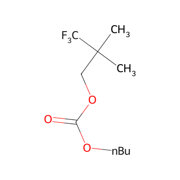 CCCCOC(=O)OCC(C)(C)C(F)(F)F